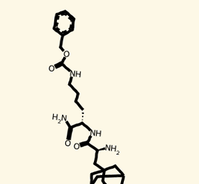 NC(=O)[C@H](CCCCNC(=O)OCc1ccccc1)NC(=O)[C@@H](N)CC12CC3CC(CC(C3)C1)C2